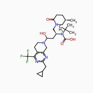 C[C@@H]1CCC(=O)N(C[C@H](CC(O)N2CCc3c(nc(CC4CC4)nc3C(F)(F)F)C2)N(C(=O)O)C(C)(C)C)C1